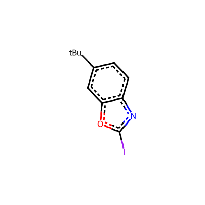 CC(C)(C)c1ccc2nc(I)oc2c1